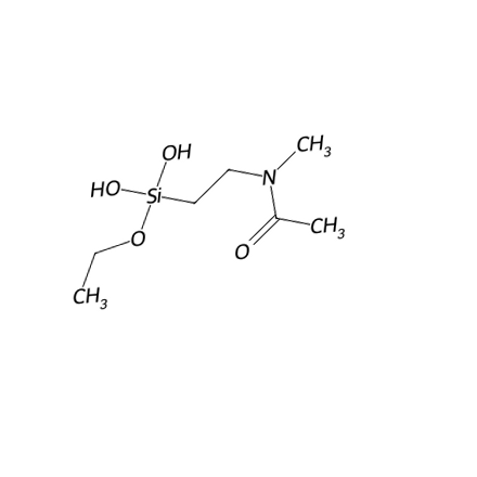 CCO[Si](O)(O)CCN(C)C(C)=O